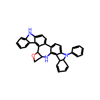 C1=CC2c3c(ccc4c3NC3COC3c3c-4ccc4[nH]c5ccccc5c34)N(c3ccccc3)C2C=C1